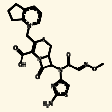 CON=CC(=O)N(c1csc(N)n1)C1C(=O)N2C(C(=O)O)=C(C[n+]3cccc4c3CCC4)SCC12